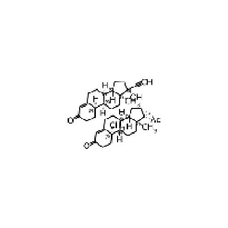 C#C[C@]1(O)CC[C@H]2[C@@H]3CCC4=CC(=O)CC[C@@H]4[C@H]3CC[C@@]21C.CC(=O)[C@H]1CC[C@H]2[C@@H]3CCC4=CC(=O)CC[C@]4(C)[C@H]3CC[C@]12C